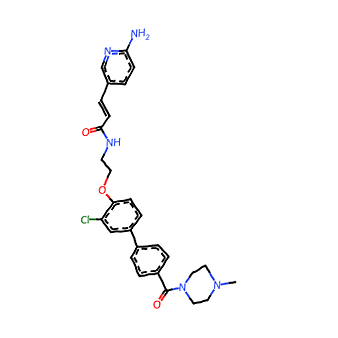 CN1CCN(C(=O)c2ccc(-c3ccc(OCCNC(=O)C=Cc4ccc(N)nc4)c(Cl)c3)cc2)CC1